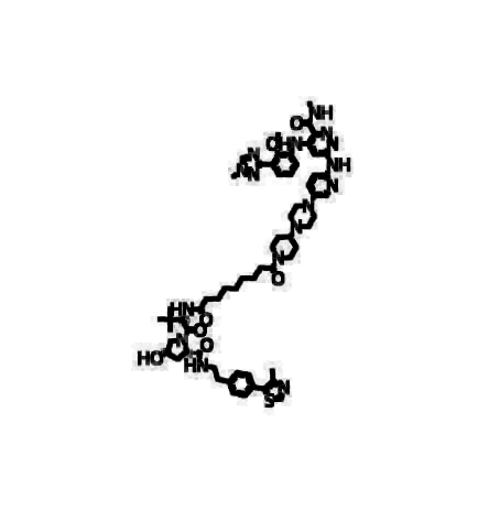 CNC(=O)c1nnc(Nc2ccc(N3CCN(C4CCN(C(=O)CCCCCCCC(=O)N[C@H](C(=O)N5C[C@H](O)C[C@H]5C(=O)NCCc5ccc(-c6scnc6C)cc5)C(C)(C)C)CC4)CC3)cn2)cc1Nc1cccc(-c2ncn(C)n2)c1OC